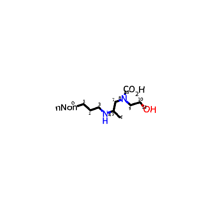 CCCCCCCCCCCCNC(C)CN(CCO)C(=O)O